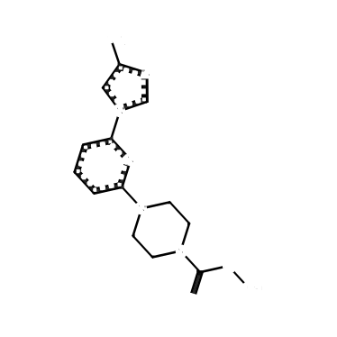 CCOC(=O)c1cn(-c2cccc(N3CCN(C(=O)OC(C)(C)C)CC3)n2)cn1